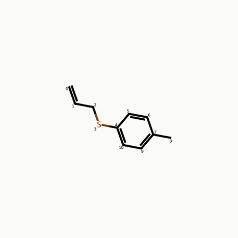 C=CCSc1ccc(C)cc1